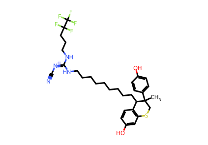 CC1(c2ccc(O)cc2)CSc2cc(O)ccc2C1CCCCCCCCCN/C(=N\C#N)NCCCC(F)(F)C(F)(F)F